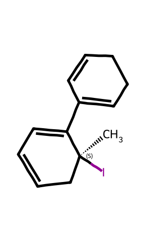 C[C@]1(I)CC=CC=C1C1=CCCC=C1